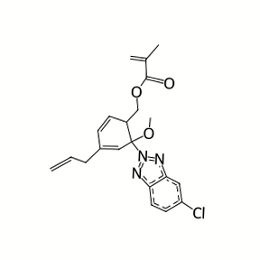 C=CCC1=CC(OC)(n2nc3ccc(Cl)cc3n2)C(COC(=O)C(=C)C)C=C1